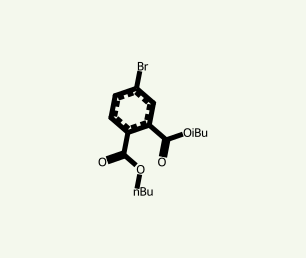 CCCCOC(=O)c1ccc(Br)cc1C(=O)OCC(C)C